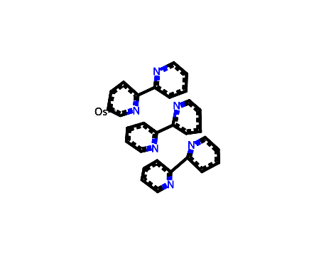 [Os+2].c1ccc(-c2ccccn2)nc1.c1ccc(-c2ccccn2)nc1.c1ccc(-c2ccccn2)nc1